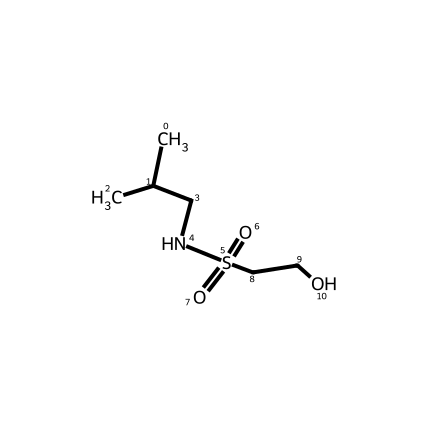 CC(C)CNS(=O)(=O)CCO